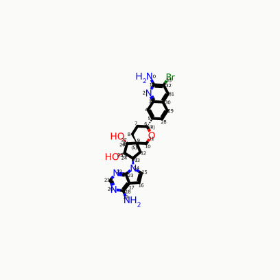 Nc1nc2cc([C@H]3CC[C@@]4(CO3)C[C@@H](n3ccc5c(N)ncnc53)[C@H](O)[C@@H]4O)ccc2cc1Br